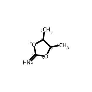 CC1OC(=N)OC1C